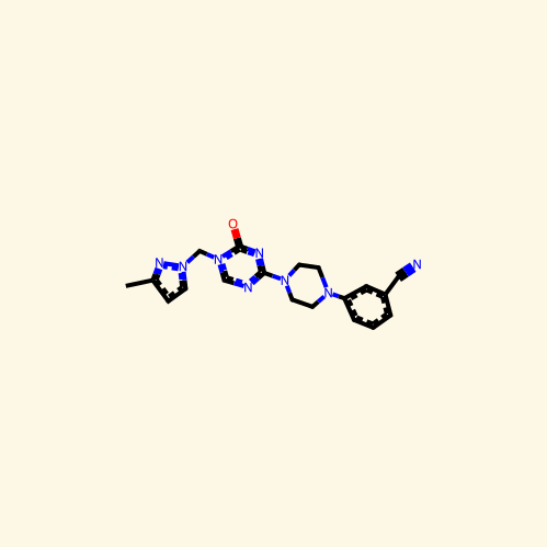 Cc1ccn(Cn2cnc(N3CCN(c4cccc(C#N)c4)CC3)nc2=O)n1